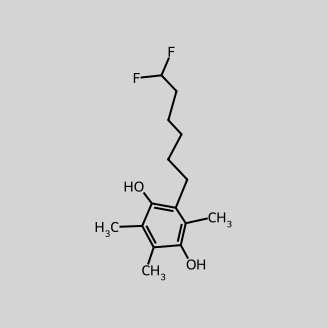 Cc1c(C)c(O)c(CCCCCC(F)F)c(C)c1O